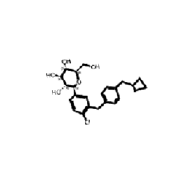 OC[C@H]1O[C@@H](c2ccc(Cl)c(Cc3ccc(CC4CCC4)cc3)c2)[C@H](O)[C@@H](O)[C@@H]1O